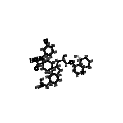 C[C@@H](COc1ccnc2c1[C@H](C)CCC2)CC1Cc2ccc(CN(C)C)cc2C12CCC(Nc1cccc(Cl)c1)(C(=O)O)CC2